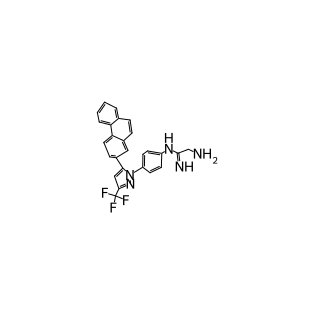 N=C(CN)Nc1ccc(-n2nc(C(F)(F)F)cc2-c2ccc3c(ccc4ccccc43)c2)cc1